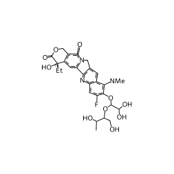 CC[C@@]1(O)C(=O)OCc2c1cc1n(c2=O)Cc2cc3c(NC)c(OC(OC(CO)C(C)O)C(O)O)c(F)cc3nc2-1